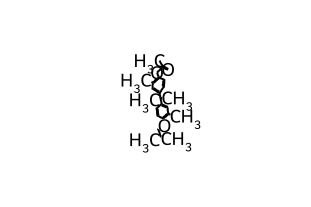 CC(=O)Oc1ccc(C(C)(C)c2ccc(OCC(C)C)c(C)c2)cc1C